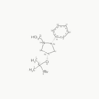 CC(C)(C)[Si](C)(C)O[C@H]1C[C@@H](c2ccccc2)N(C(=O)O)C1